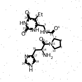 CCc1c(CNC(=O)[C@@H]2CCCN2C(=O)[C@@H](N)Cc2c[nH]cn2)[nH]c(=O)[nH]c1=O